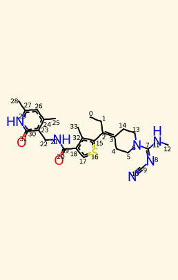 CCC(=C1CCN(/C(=N\C#N)NC)CC1)c1scc(C(=O)NCc2c(C)cc(C)[nH]c2=O)c1C